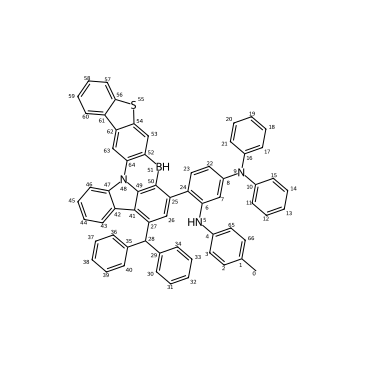 Cc1ccc(Nc2cc(N(c3ccccc3)c3ccccc3)ccc2-c2cc(C(c3ccccc3)c3ccccc3)c3c4ccccc4n4c3c2Bc2cc3sc5ccccc5c3cc2-4)cc1